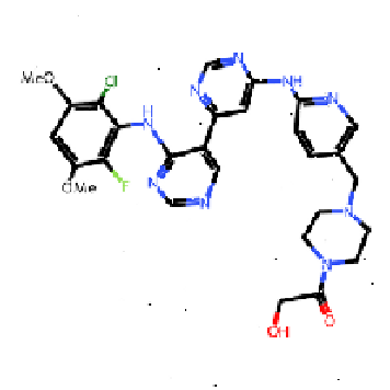 COc1cc(OC)c(Cl)c(Nc2ncncc2-c2cc(Nc3ccc(CN4CCN(C(=O)CO)CC4)cn3)ncn2)c1F